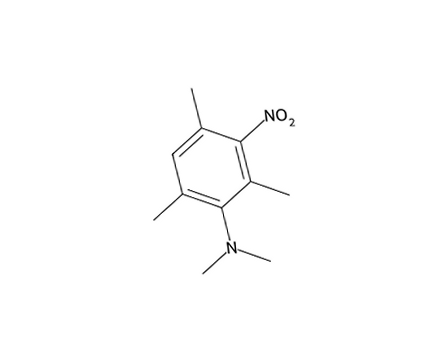 Cc1cc(C)c([N+](=O)[O-])c(C)c1N(C)C